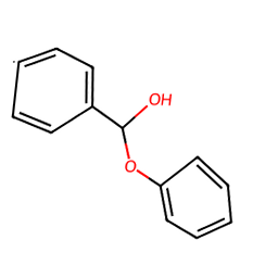 OC(Oc1ccccc1)c1cc[c]cc1